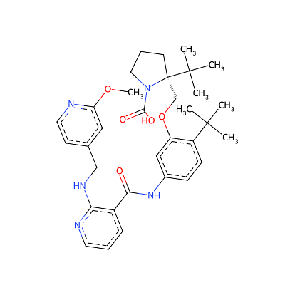 COc1cc(CNc2ncccc2C(=O)Nc2ccc(C(C)(C)C)c(OC[C@@]3(C(C)(C)C)CCCN3C(=O)O)c2)ccn1